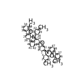 Cc1ccc(N(c2ccc3c(c2)oc2cc(N(c4ccc(C)cc4)c4cccc5c4oc4c(C)cccc45)c4ccccc4c23)c2cccc3c2oc2c(C)cccc23)cc1